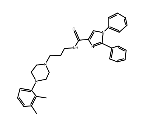 Cc1cccc(N2CCN(CCCNC(=O)c3cn(-c4ccccc4)c(-c4ccccc4)n3)CC2)c1C